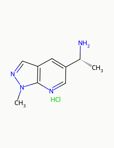 C[C@@H](N)c1cnc2c(cnn2C)c1.Cl